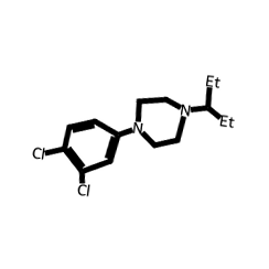 CCC(CC)N1CCN(c2ccc(Cl)c(Cl)c2)CC1